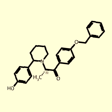 C[C@@H](C(=O)c1ccc(OCc2ccccc2)cc1)N1CCCCC1c1ccc(O)cc1